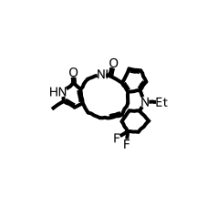 CCN(c1cccc2c1CC=CCCc1cc(C)[nH]c(=O)c1CNC2=O)C1CCC(F)(F)CC1